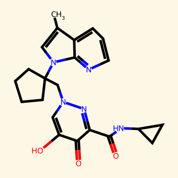 Cc1cn(C2(Cn3cc(O)c(=O)c(C(=O)NC4CC4)n3)CCCC2)c2ncccc12